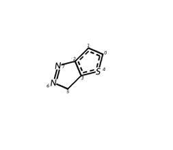 c1cc2c(s1)CN=N2